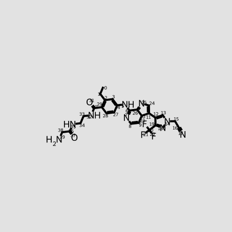 CCc1cc(NC2=NC=CC3C(c4cn(CC#N)nc4C(F)(F)F)=CN=C23)ccc1C(=O)NCCNC(=O)CN